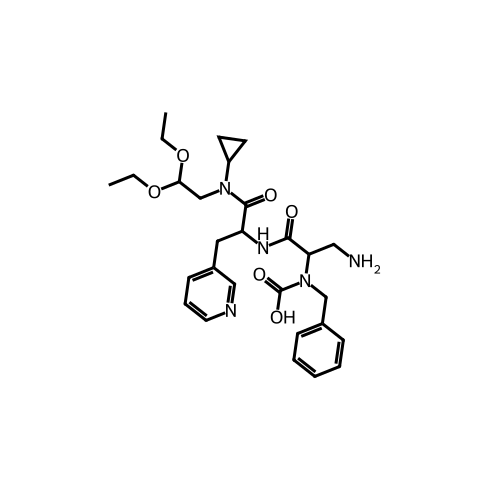 CCOC(CN(C(=O)C(Cc1cccnc1)NC(=O)C(CN)N(Cc1ccccc1)C(=O)O)C1CC1)OCC